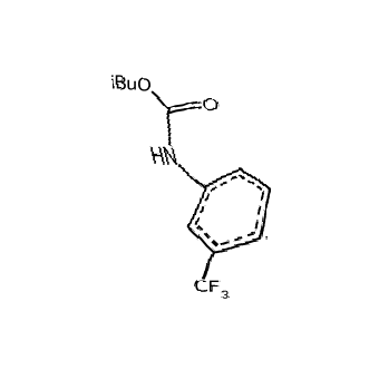 CC(C)COC(=O)Nc1cc[c]c(C(F)(F)F)c1